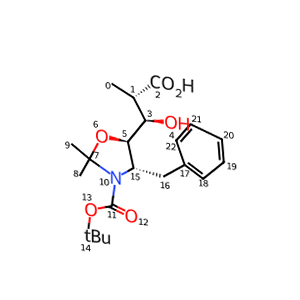 C[C@H](C(=O)O)[C@@H](O)[C@@H]1OC(C)(C)N(C(=O)OC(C)(C)C)[C@H]1Cc1ccccc1